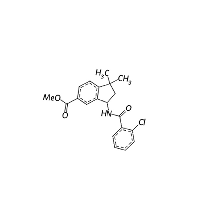 COC(=O)c1ccc2c(c1)C(NC(=O)c1ccccc1Cl)CC2(C)C